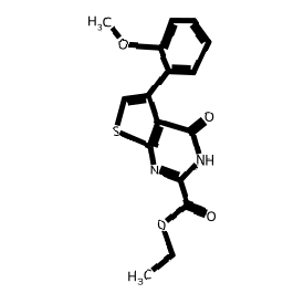 CCOC(=O)c1nc2scc(-c3ccccc3OC)c2c(=O)[nH]1